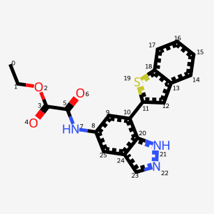 CCOC(=O)C(=O)Nc1cc(-c2cc3ccccc3s2)c2[nH]ncc2c1